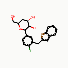 OCC1C[C@H](O)C(O)C(c2ccc(F)c(Cc3cc4ccccc4s3)c2)O1